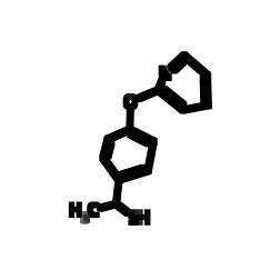 CC(S)c1ccc(Oc2ccccn2)cc1